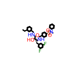 CCc1cccc(CNC[C@H](O)[C@H](Cc2cc(F)cc(F)c2)NC(=O)c2ccc(S(=O)(=O)N(C)c3ccccc3)cc2)c1